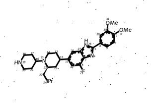 COc1ccc(-c2nc3c(F)cc(C4CCN(C5CCNCC5)[C@H](CC(C)C)C4)cc3[nH]2)cc1OC